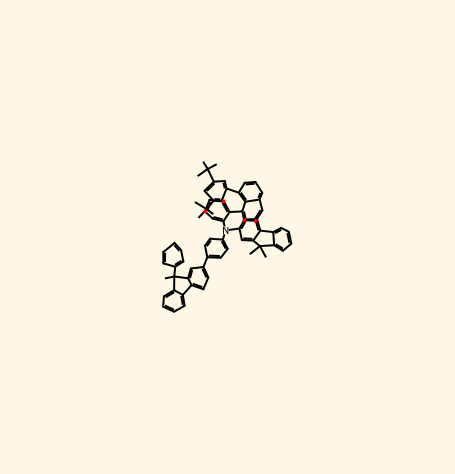 CC(C)(C)c1cc(-c2cccc3cccc(-c4ccccc4N(c4ccc(-c5ccc6c(c5)C(C)(c5ccccc5)c5ccccc5-6)cc4)c4ccc5c(c4)C(C)(C)c4ccccc4-5)c23)cc(C(C)(C)C)c1